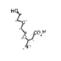 [CH2]CCC(CC(=O)O)OCCOCCO